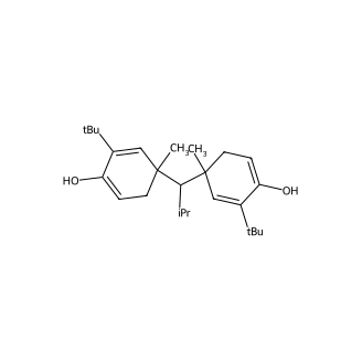 CC(C)C(C1(C)C=C(C(C)(C)C)C(O)=CC1)C1(C)C=C(C(C)(C)C)C(O)=CC1